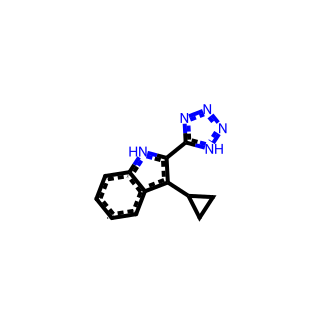 [c]1ccc2[nH]c(-c3nnn[nH]3)c(C3CC3)c2c1